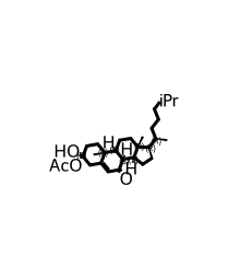 CC(=O)O[C@]1(O)CC[C@@]2(C)C(=CC(=O)[C@H]3[C@@H]4CC[C@H]([C@H](C)CCCC(C)C)[C@@]4(C)CC[C@@H]32)C1